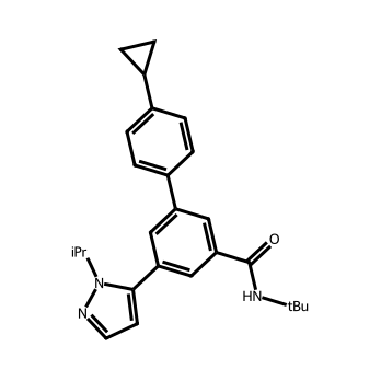 CC(C)n1nccc1-c1cc(C(=O)NC(C)(C)C)cc(-c2ccc(C3CC3)cc2)c1